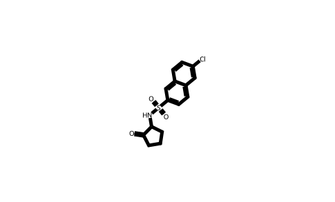 O=C1CCCC1NS(=O)(=O)c1ccc2cc(Cl)ccc2c1